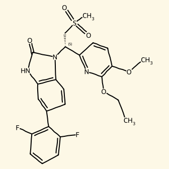 CCOc1nc([C@@H](CS(C)(=O)=O)n2c(=O)[nH]c3cc(-c4c(F)cccc4F)ccc32)ccc1OC